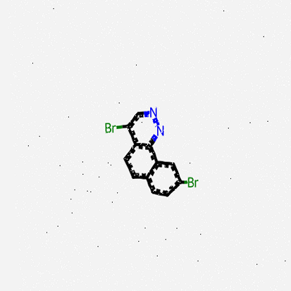 Brc1ccc2ccc3c(Br)cnnc3c2c1